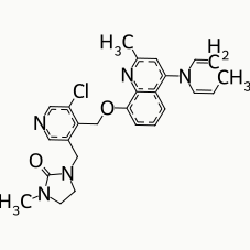 C=CN(/C=C\C)c1cc(C)nc2c(OCc3c(Cl)cncc3CN3CCN(C)C3=O)cccc12